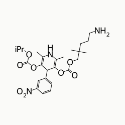 CC1=C(OC(=O)OCC(C)(C)CCCN)C(c2cccc([N+](=O)[O-])c2)C(OC(=O)OC(C)C)=C(C)N1